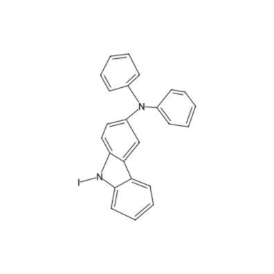 In1c2ccccc2c2cc(N(c3ccccc3)c3ccccc3)ccc21